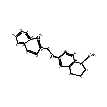 OC1CCCc2cc(OCc3ccc4ccccc4n3)ccc21